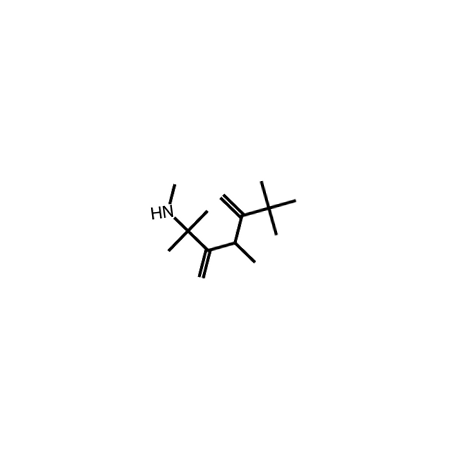 C=C(C(C)C(=C)C(C)(C)NC)C(C)(C)C